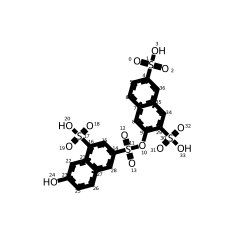 O=S(=O)(O)c1ccc2cc(OS(=O)(=O)c3cc(S(=O)(=O)O)c4cc(O)ccc4c3)c(S(=O)(=O)O)cc2c1